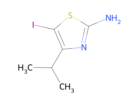 CC(C)c1nc(N)sc1I